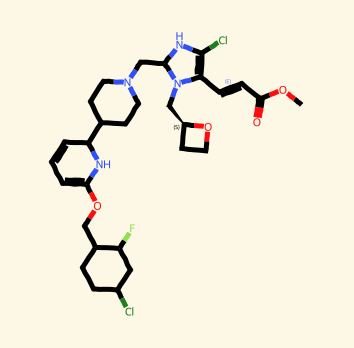 COC(=O)/C=C/C1=C(Cl)NC(CN2CCC(C3C=CC=C(OCC4CCC(Cl)CC4F)N3)CC2)N1C[C@@H]1CCO1